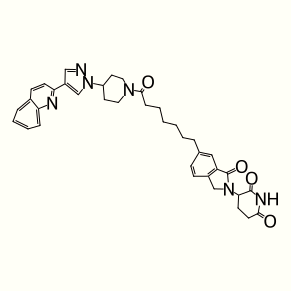 O=C1CCC(N2Cc3ccc(CCCCCCC(=O)N4CCC(n5cc(-c6ccc7ccccc7n6)cn5)CC4)cc3C2=O)C(=O)N1